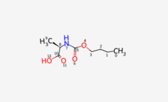 CCCCOC(=O)N[C@H](C)C(=O)O